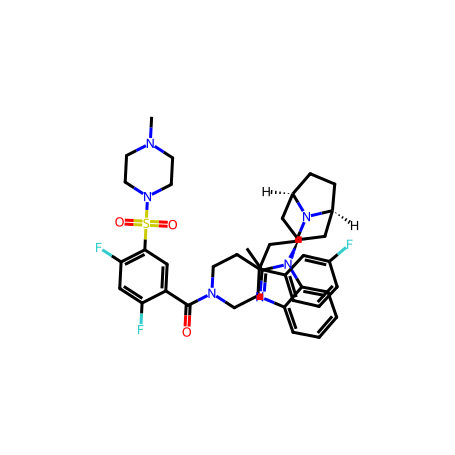 Cc1nc2ccccc2n1[C@H]1C[C@H]2CC[C@@H](C1)N2CCC1(c2cccc(F)c2)CCN(C(=O)c2cc(S(=O)(=O)N3CCN(C)CC3)c(F)cc2F)CC1